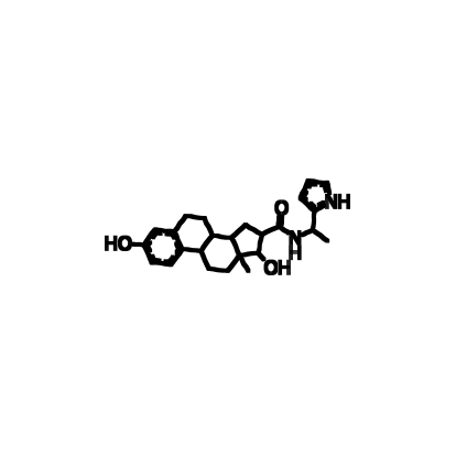 CC(NC(=O)C1CC2C3CCc4cc(O)ccc4C3CCC2(C)C1O)c1ccc[nH]1